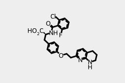 O=C(N[C@@H](Cc1ccc(OCCc2ccc3c(n2)NCCC3)cc1)C(=O)O)c1c(F)cccc1Cl